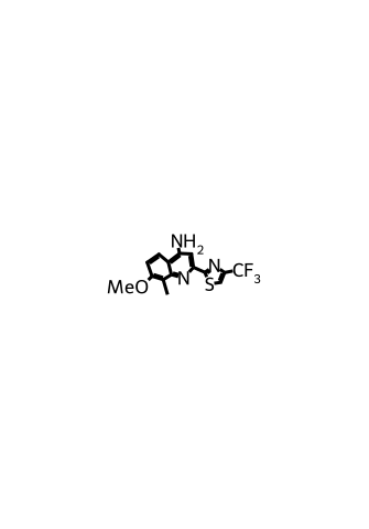 COc1ccc2c(N)cc(-c3nc(C(F)(F)F)cs3)nc2c1C